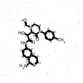 Cc1ccc(N2CCN(C=O)C(C(O)C(=O)Nc3ccc4c(N)nccc4c3)C2=O)cc1